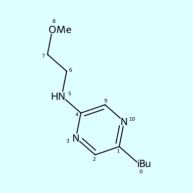 CCC(C)c1cnc(NCCOC)cn1